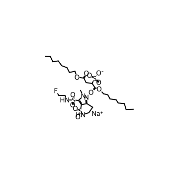 CCCCCCCCOC(=O)CC(C(=O)OCCCCCCCC)S(=O)(=O)[O-].Cn1nc2c(c1S(=O)(=O)NCCF)S(=O)(=O)NCC2.[Na+]